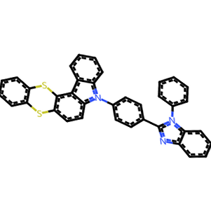 c1ccc(-n2c(-c3ccc(-n4c5ccccc5c5c6c(ccc54)Sc4ccccc4S6)cc3)nc3ccccc32)cc1